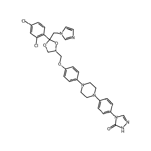 O=c1[nH]ncn1-c1ccc(N2CCN(c3ccc(OCC4COC(Cn5ccnc5)(c5ccc(Cl)cc5Cl)O4)cc3)CC2)cc1